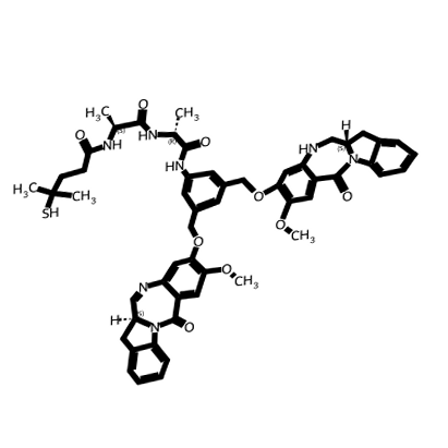 COc1cc2c(cc1OCc1cc(COc3cc4c(cc3OC)C(=O)N3c5ccccc5C[C@H]3CN4)cc(NC(=O)[C@@H](C)NC(=O)[C@H](C)NC(=O)CCC(C)(C)S)c1)N=C[C@@H]1Cc3ccccc3N1C2=O